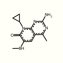 CBc1cc2c(C)nc(N)nc2n(C2CC2)c1=O